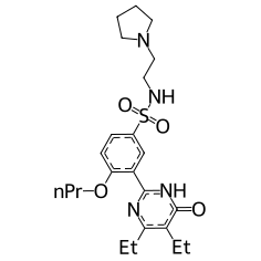 CCCOc1ccc(S(=O)(=O)NCCN2CCCC2)cc1-c1nc(CC)c(CC)c(=O)[nH]1